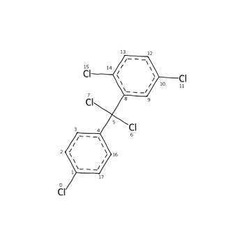 Clc1ccc(C(Cl)(Cl)c2cc(Cl)ccc2Cl)cc1